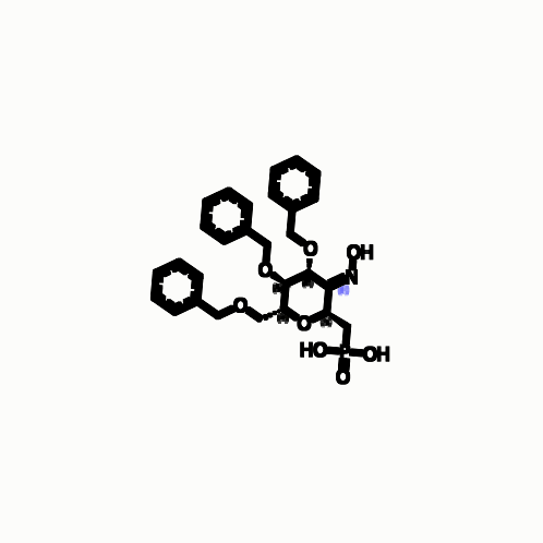 O=P(O)(O)C[C@H]1O[C@H](COCc2ccccc2)[C@@H](OCc2ccccc2)[C@H](OCc2ccccc2)/C1=N\O